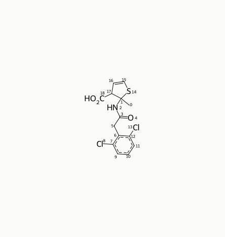 CC1(NC(=O)Cc2c(Cl)cccc2Cl)SC=CC1C(=O)O